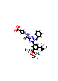 COC(C)(C)c1cc(-c2nc(C(=O)N[C@H]3C[C@H](C(=O)O)C3)nn2CC2CCCCC2)cc(C2(C)CC2)c1